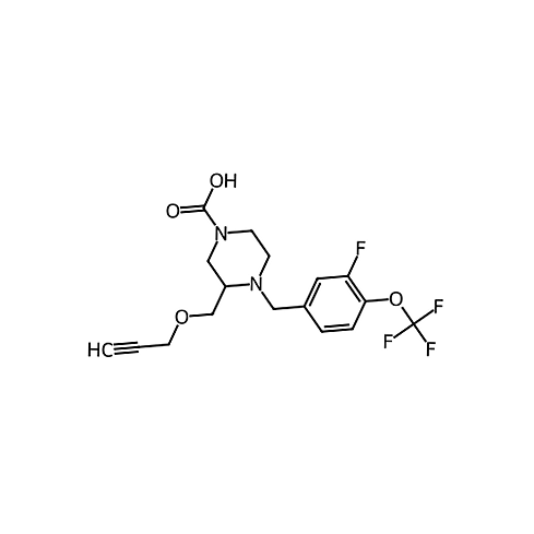 C#CCOCC1CN(C(=O)O)CCN1Cc1ccc(OC(F)(F)F)c(F)c1